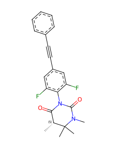 C[C@@H]1C(=O)N(c2c(F)cc(C#Cc3ccccc3)cc2F)C(=O)N(C)C1(C)C